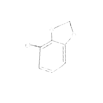 Clc1cccc2c1O[CH]O2